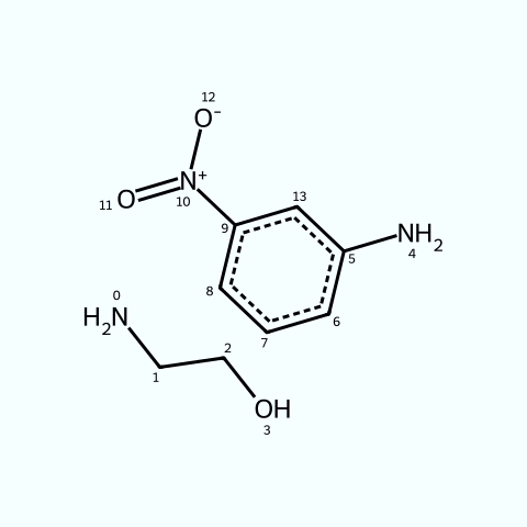 NCCO.Nc1cccc([N+](=O)[O-])c1